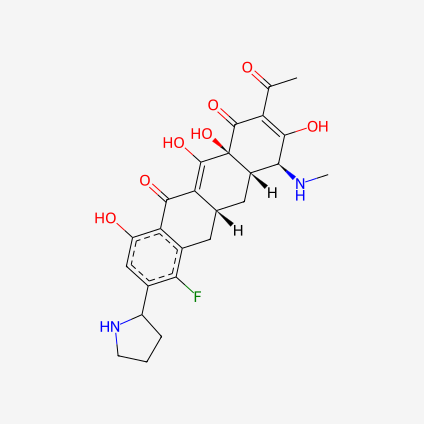 CN[C@@H]1C(O)=C(C(C)=O)C(=O)[C@@]2(O)C(O)=C3C(=O)c4c(O)cc(C5CCCN5)c(F)c4C[C@H]3C[C@@H]12